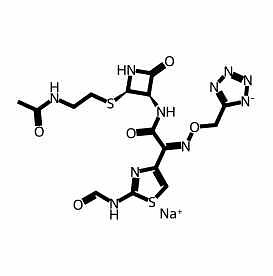 CC(=O)NCCS[C@H]1NC(=O)[C@H]1NC(=O)C(=NOCc1nnn[n-]1)c1csc(NC=O)n1.[Na+]